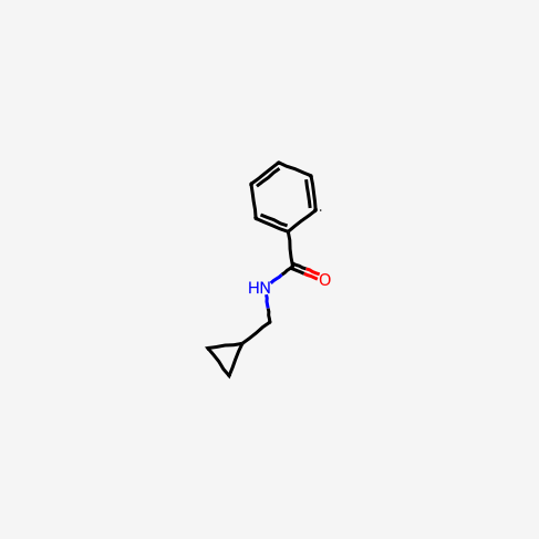 O=C(NCC1CC1)c1[c]cccc1